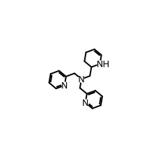 C1=CNC(CN(Cc2ccccn2)Cc2ccccn2)CC1